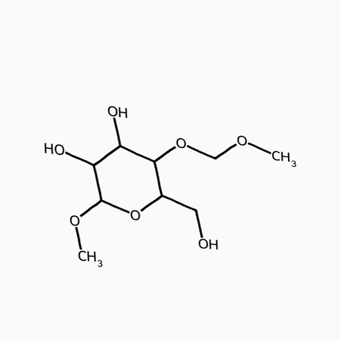 COCOC1C(CO)OC(OC)C(O)C1O